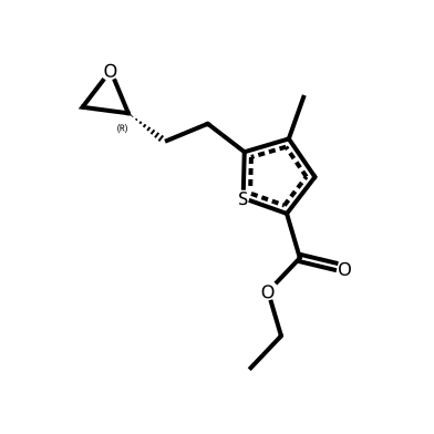 CCOC(=O)c1cc(C)c(CC[C@@H]2CO2)s1